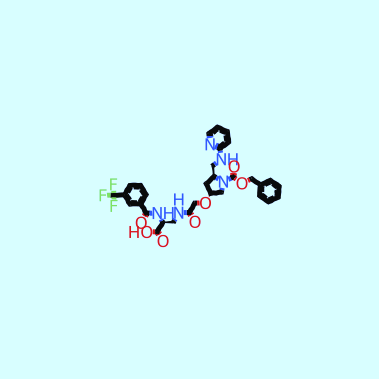 O=C(CO[C@@H]1C[C@@H](CNc2ccccn2)N(C(=O)OCc2ccccc2)C1)NC[C@H](NC(=O)c1cccc(C(F)(F)F)c1)C(=O)O